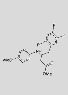 COC(=O)CC(Cc1cc(F)c(F)cc1F)Nc1ccc(OC)cc1